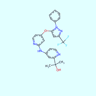 CC(C)(O)c1cc(Nc2cc(Oc3cc(C(F)(F)F)nn3-c3ccccc3)ccn2)ccn1